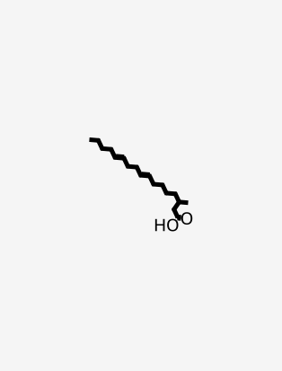 CCCCC=CCCC=CCCCCC(C)CC(=O)O